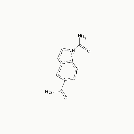 NC(=O)n1ccc2cc(C(=O)O)cnc21